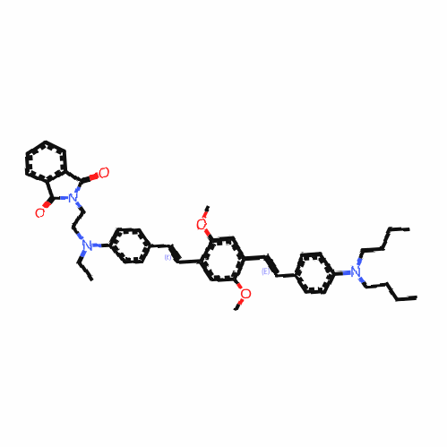 CCCCN(CCCC)c1ccc(/C=C/c2cc(OC)c(/C=C/c3ccc(N(CC)CCN4C(=O)c5ccccc5C4=O)cc3)cc2OC)cc1